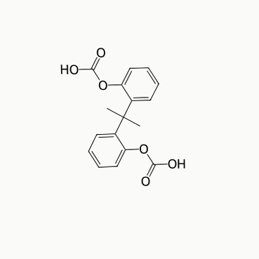 CC(C)(c1ccccc1OC(=O)O)c1ccccc1OC(=O)O